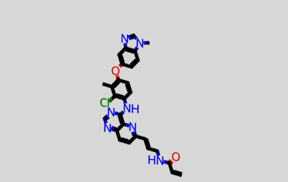 C=CC(=O)NCC=Cc1ccc2ncnc(Nc3ccc(Oc4ccc5c(c4)ncn5C)c(C)c3Cl)c2n1